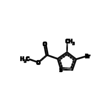 COC(=O)c1scc(Br)c1C